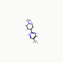 CN1CCC(c2ncc(C(F)(F)F)cn2)CC1